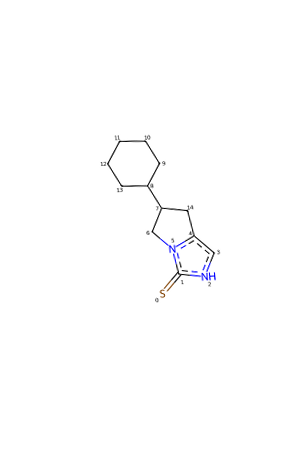 S=c1[nH]cc2n1CC(C1CCCCC1)C2